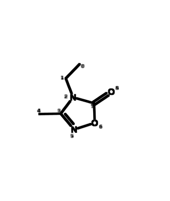 CCn1c(C)noc1=O